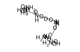 NN=Nc1ccc(CCCOCc2cn(CCOCCOCCOCCNC(=O)CCCC[C@@H]3SC[C@@H]4NC(=O)N(N)[C@@H]43)nn2)cc1C(=O)C[C@H](N)C(=O)O